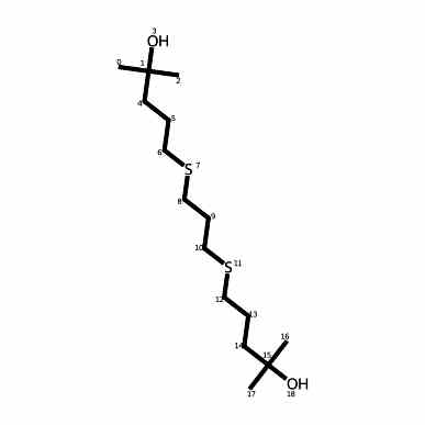 CC(C)(O)CCCSCCCSCCCC(C)(C)O